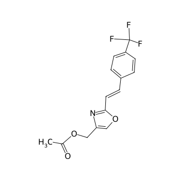 CC(=O)OCc1coc(C=Cc2ccc(C(F)(F)F)cc2)n1